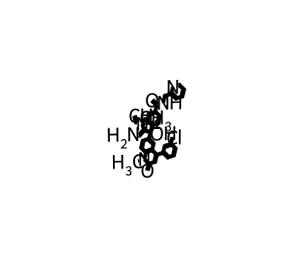 C=CN(C)/C(=C\N)C(O)(c1ccc(C(=O)NCc2ccccn2)cc1)c1ccc2c(c1)c(-c1cccc(Cl)c1)cc(=O)n2C